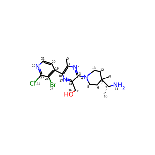 Cc1nc(N2CCC(C)([C@@H](C)N)CC2)c(CO)nc1-c1ccnc(Cl)c1Br